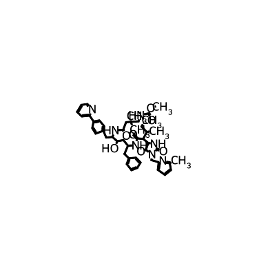 CCC(C)C(C(=O)NC(Cc1ccccc1)CC(O)C(Cc1ccc(-c2ccccn2)cc1)NC(=O)CC(C)(C)CNC(=O)OC)C1NC(=O)N(Cc2cccc(C)n2)C1=O